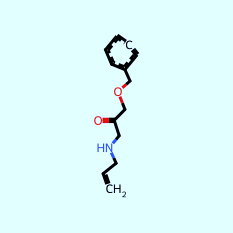 C=CCNCC(=O)COCc1ccccc1